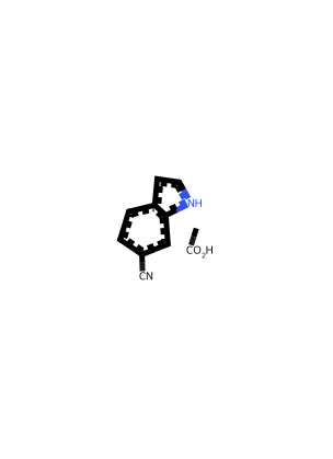 CC(=O)O.N#Cc1ccc2cc[nH]c2c1